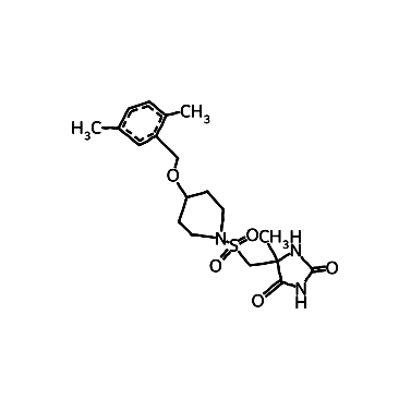 Cc1ccc(C)c(COC2CCN(S(=O)(=O)CC3(C)NC(=O)NC3=O)CC2)c1